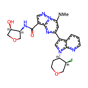 CNc1cc(-c2cn([C@H]3CCOC[C@@H]3F)c3ncccc23)nc2c(C(=O)N[C@H]3COC[C@H]3O)cnn12